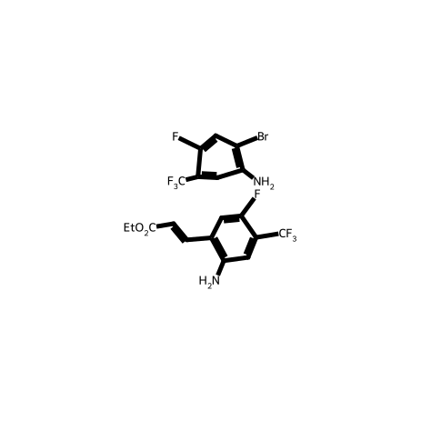 CCOC(=O)/C=C/c1cc(F)c(C(F)(F)F)cc1N.Nc1cc(C(F)(F)F)c(F)cc1Br